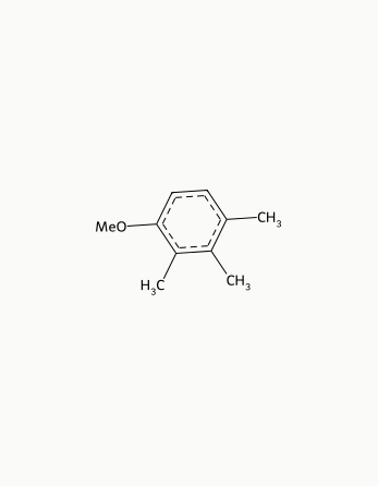 [CH2]Oc1ccc(C)c(C)c1C